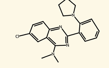 CN(C)c1nc(-c2ccccc2N2CCCC2)nc2ccc(Cl)cc12